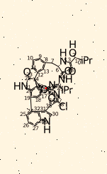 CC(C)[C@H](O)C(=O)N[C@H]1Cc2ccc3c(c2)[C@]24c5cccc(c5NC2O3)-c2cccc3[nH]cc(c23)-c2oc(nc2Cl)-c2nc(oc24)[C@H](C(C)C)NC1=O